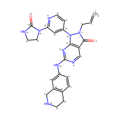 C=CCn1c(=O)c2cnc(Nc3ccc4c(c3)CNCC4)nc2n1-c1ccnc(N2CCNC2=O)c1